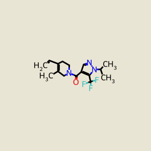 C=CC1=C(C)CN(C(=O)c2cnn(C(C)C)c2C(F)(F)F)CC1